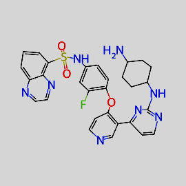 NC1CCC(Nc2nccc(-c3cnccc3Oc3ccc(NS(=O)(=O)c4cccc5nccnc45)cc3F)n2)CC1